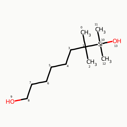 CC(C)(CCCCCCO)[Si](C)(C)O